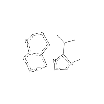 CC(C)c1nccn1C.c1ccc2ncccc2c1